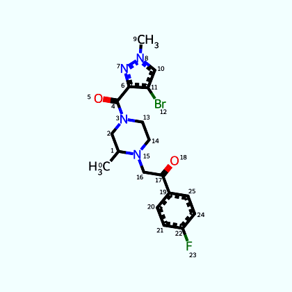 CC1CN(C(=O)c2nn(C)cc2Br)CCN1CC(=O)c1ccc(F)cc1